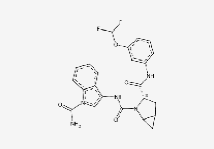 NC(=O)n1cc(NC(=O)N2C3CC3C[C@H]2C(=O)Nc2cccc(OC(F)F)c2)c2ccccc21